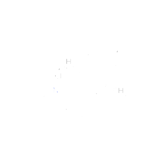 C=c1c2ccccc2c(=C)c2c(N(C)C)cccc12